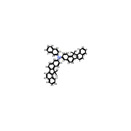 CC1(C)c2c(ccc3ccccc23)-c2ccc3cc(N(c4ccc5ccccc5c4)c4ccc5c6c(ccc5c4)-c4ccc5ccccc5c4C6(C)C)ccc3c21